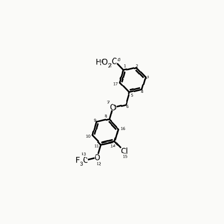 O=C(O)c1cccc(COc2ccc(OC(F)(F)F)c(Cl)c2)c1